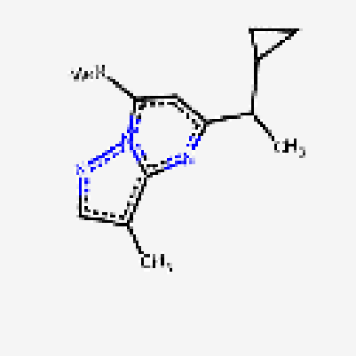 CNc1cc(C(C)C2CC2)nc2c(C)cnn12